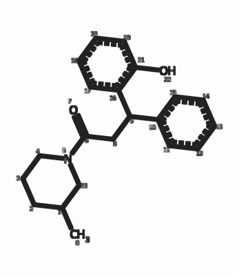 CC1CCCN(C(=O)CC(c2ccccc2)c2ccccc2O)C1